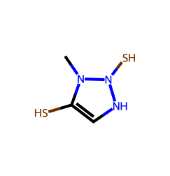 CN1C(S)=CNN1S